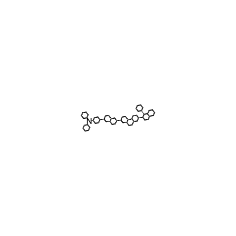 c1ccc(-c2c(-c3ccc4c(ccc5cc(-c6ccc7cc(-c8ccc(N(c9ccccc9)c9ccccc9)cc8)ccc7c6)ccc54)c3)ccc3ccccc23)cc1